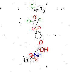 C[C@H](CCl)COc1c(Cl)cc(S(=O)(=O)c2ccc(OC[C@@H](O)CNS(C)(=O)=O)cc2)cc1Cl